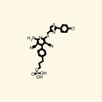 N#Cc1c(N)nc(SCc2csc(-c3ccc(Cl)cc3)n2)c(C#N)c1-c1ccc(CCCOP(=O)(O)O)cc1